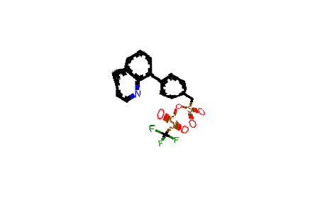 O=S(=O)(Cc1ccc(-c2cccc3cccnc23)cc1)OS(=O)(=O)C(F)(F)F